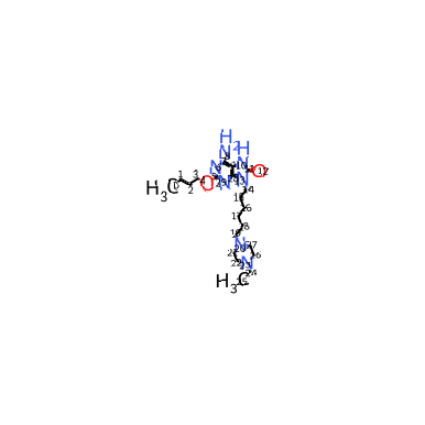 CCCCOc1nc(N)c2[nH]c(=O)n(CCCCCCN3CCN(CC)CC3)c2n1